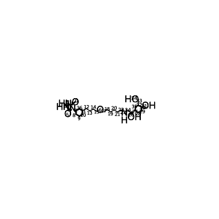 O=c1[nH][nH]c(=O)n1-c1cccc(CCCCOCCCCCCNC[C@@H](O)c2ccc(O)c(CO)c2)c1